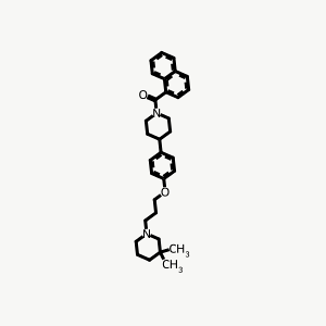 CC1(C)CCCN(CCCOc2ccc(C3CCN(C(=O)c4cccc5ccccc45)CC3)cc2)C1